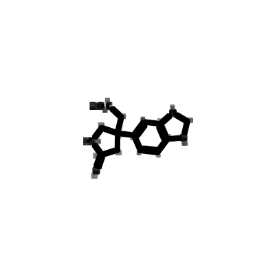 CCOC(=O)CC1(c2ccc3c(c2)OCO3)CNC(=O)C1